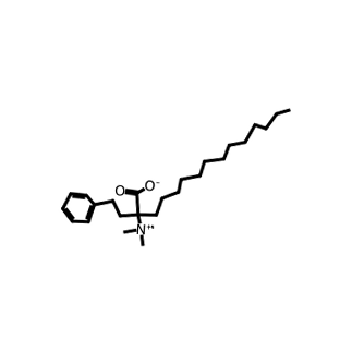 CCCCCCCCCCCCCC(CCc1ccccc1)(C(=O)[O-])[N+](C)(C)C